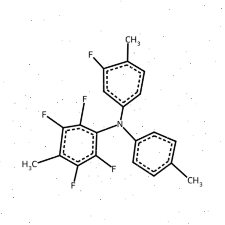 Cc1ccc(N(c2ccc(C)c(F)c2)c2c(F)c(F)c(C)c(F)c2F)cc1